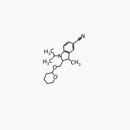 CC1c2cc(C#N)ccc2N(C(C)C)C1COC1CCCCO1